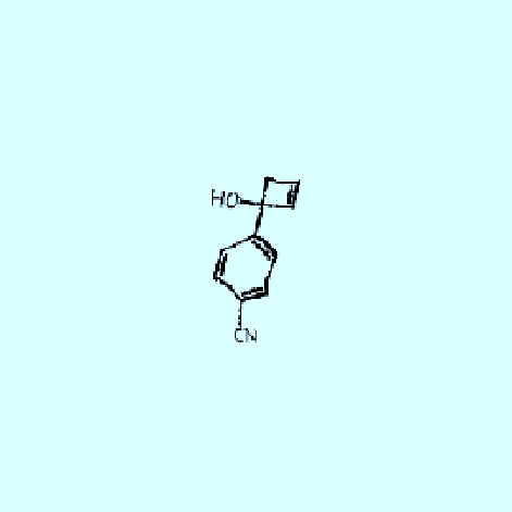 N#Cc1ccc(C2(O)C=CC2)cc1